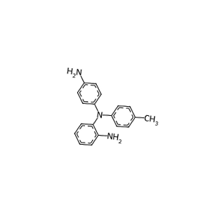 Cc1ccc(N(c2ccc(N)cc2)c2ccccc2N)cc1